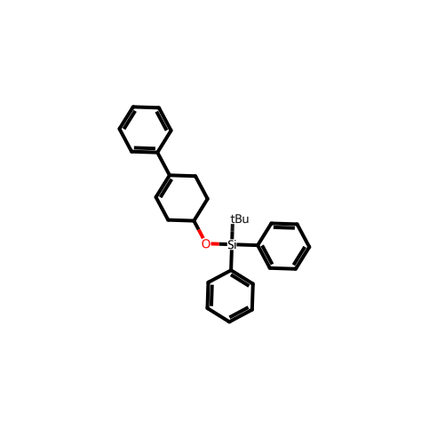 CC(C)(C)[Si](OC1CC=C(c2ccccc2)CC1)(c1ccccc1)c1ccccc1